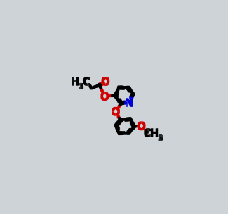 CCC(=O)Oc1cccnc1Oc1cccc(OC)c1